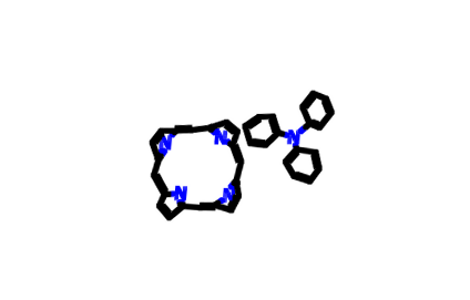 C1=CC2=NC1=CC1=NC(=CC3=NC(=CC4=NC(=C2)C=C4)C=C3)C=C1.c1ccc(N(c2ccccc2)c2ccccc2)cc1